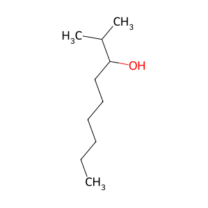 CCCCCCC(O)C(C)C